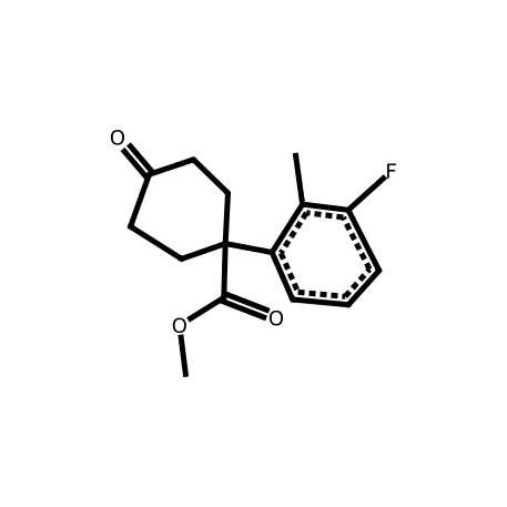 COC(=O)C1(c2cccc(F)c2C)CCC(=O)CC1